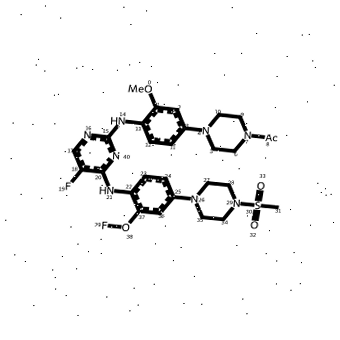 COc1cc(N2CCN(C(C)=O)CC2)ccc1Nc1ncc(F)c(Nc2ccc(N3CCN(S(C)(=O)=O)CC3)cc2OF)n1